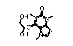 Cn1c(=O)c2c(ncn2C)n(C)c1=O.OCCO